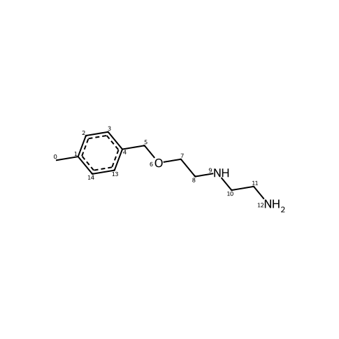 Cc1ccc(COCCNCCN)cc1